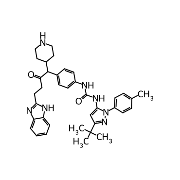 Cc1ccc(-n2nc(C(C)(C)C)cc2NC(=O)Nc2ccc(C(C(=O)CCc3nc4ccccc4[nH]3)C3CCNCC3)cc2)cc1